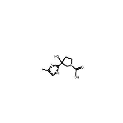 O=C(O)N1CCC(O)(c2ncc(I)s2)C1